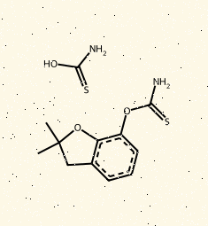 CC1(C)Cc2cccc(OC(N)=S)c2O1.NC(O)=S